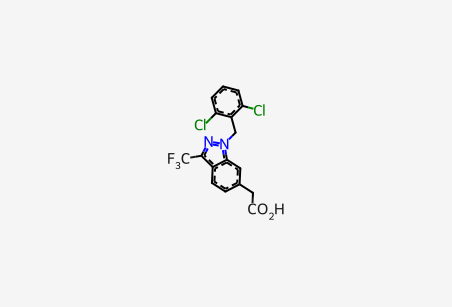 O=C(O)Cc1ccc2c(C(F)(F)F)nn(Cc3c(Cl)cccc3Cl)c2c1